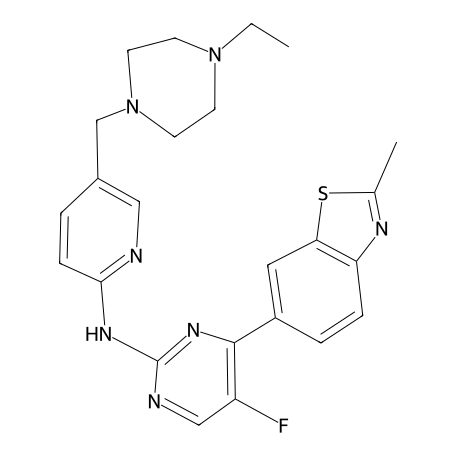 CCN1CCN(Cc2ccc(Nc3ncc(F)c(-c4ccc5nc(C)sc5c4)n3)nc2)CC1